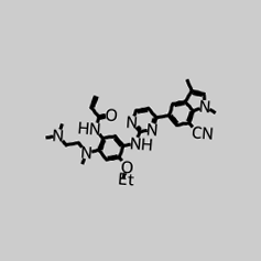 C=CC(=O)Nc1cc(Nc2nccc(-c3cc(C#N)c4c(c3)c(C)cn4C)n2)c(OCC)cc1N(C)CCN(C)C